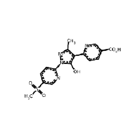 Cc1nn(-c2ccc(S(C)(=O)=O)cn2)c(O)c1-c1ccc(C(=O)O)cn1